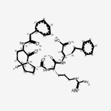 N=C(N)NCCC[C@H](NC(=O)[C@@H]1CC[C@@H]2CCC(NC(=O)Cc3ccccc3)C(=O)N21)C(=O)N[C@@H](CCc1ccccc1)CC(=O)O